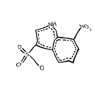 O=[N+]([O-])c1cccc2c(S(=O)(=O)Cl)c[nH]c12